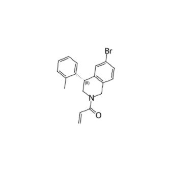 C=CC(=O)N1Cc2ccc(Br)cc2[C@@H](c2ccccc2C)C1